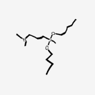 CCCCO[Si](C)(CCCN(C)C)OCCCC